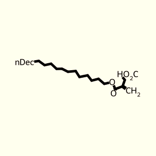 C=C(CC(=O)O)C(=O)OCCCCCCCCCCCCCCCCCCCCCC